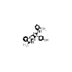 Cc1ccccc1Nc1nc2cnc(NC(C)c3ccccc3)nc2n1[C@H]1CC[C@H](O)CC1